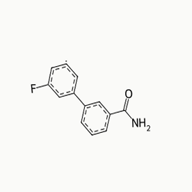 NC(=O)c1cccc(-c2c[c]cc(F)c2)c1